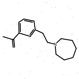 C=C(C)c1cccc(CCN2CCCCCC2)c1